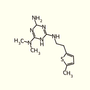 Cc1ccc(CCNC2=NC(N)N=C(N(C)C)N2)s1